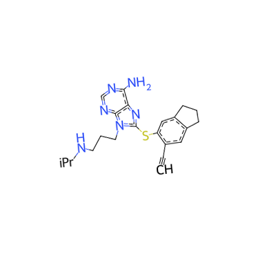 C#Cc1cc2c(cc1Sc1nc3c(N)ncnc3n1CCCNC(C)C)CCC2